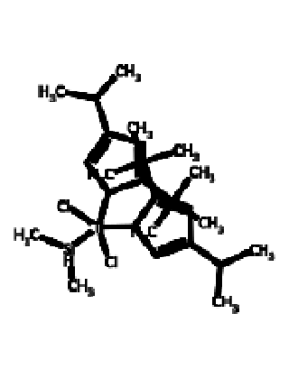 CC(C)C1=C[CH]([Ti]([Cl])([Cl])([CH]2C=C(C(C)C)C=C2C(C)(C)C)[SiH](C)C)C(C(C)(C)C)=C1